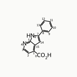 O=C(O)c1ccnc2[nH]c(-c3ccccc3)cc12